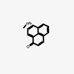 CCCC.O=C1C=Cc2cccc3cccc1c23